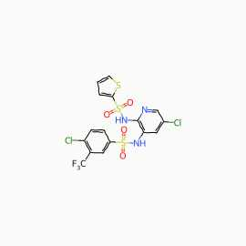 O=S(=O)(Nc1cc(Cl)cnc1NS(=O)(=O)c1cccs1)c1ccc(Cl)c(C(F)(F)F)c1